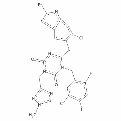 CCc1nc2cc(Cl)c(Nc3nc(=O)n(Cc4ncn(C)n4)c(=O)n3Cc3cc(Cl)c(F)cc3F)cc2s1